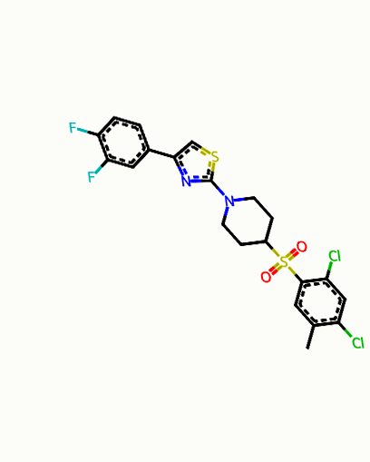 Cc1cc(S(=O)(=O)C2CCN(c3nc(-c4ccc(F)c(F)c4)cs3)CC2)c(Cl)cc1Cl